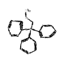 CCCCOC[P](c1ccccc1)(c1ccccc1)c1ccccc1